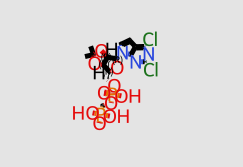 CC1(C)O[C@@H]2[C@H](O1)[C@@H](COP(=O)(O)OCP(=O)(O)O)O[C@H]2n1ccc2c(Cl)nc(Cl)nc21